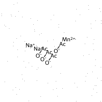 CC(=O)[O-].CC(=O)[O-].CC(=O)[O-].CC(=O)[O-].[Mn+2].[Na+].[Na+]